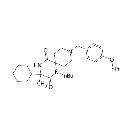 CCCCN1C(=O)C(C)(C2CCCCC2)NC(=O)C12CCN(Cc1ccc(OCCC)cc1)CC2